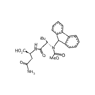 CC[C@H](C)[C@@H](C(=O)N[C@@H](CC(N)=O)C(=O)O)N(C(=O)OC)C1c2ccccc2-c2ccccc21